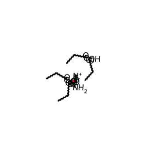 CCCCCCCC/C=C\CCCCCCCC(=O)OC[C@H](CO)OC(=O)CCCCCCC/C=C\CCCCCCCC.CCCCCCCC/C=C\CCCCCCCC(=O)OC[C@H](COP(=O)(OCCN)OP(=O)([O-])OCC[N+](C)(C)C)OC(=O)CCCCCCC/C=C\CCCCCCCC